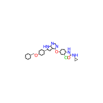 O=C(Nc1ccc(Oc2ncnc3[nH]c(-c4ccc(OCc5ccccc5)cc4)cc23)cc1Cl)NC1CC1